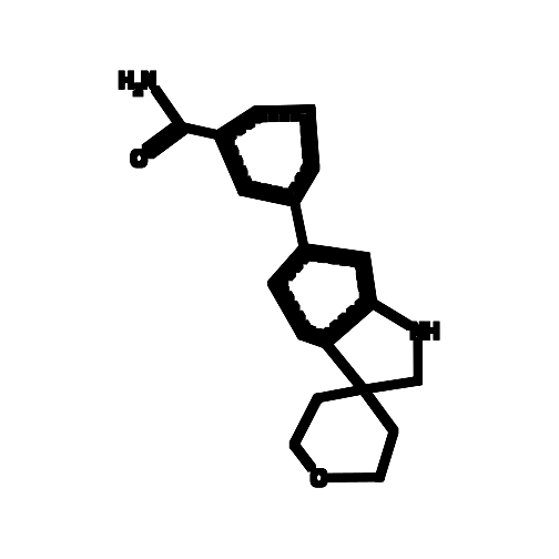 NC(=O)c1cccc(-c2ccc3c(c2)NCC32CCOCC2)c1